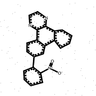 O=[N+]([O-])c1ccccc1-c1ccc2c(c1)c1ccccc1c1nccnc21